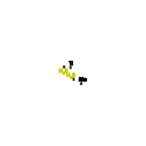 S.S.[Mo].[Ti]